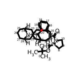 CC(C)(C)OC(=O)N1CCCN1C(=O)Nc1ccccc1N[C@H]1C[C@H]2CCC[C@@H](C1)N2[C@@H]1C[C@@H]2CCCC[C@@H](C2)C1